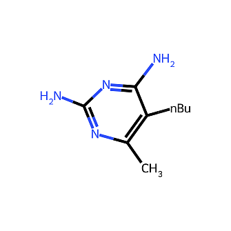 CCCCc1c(C)nc(N)nc1N